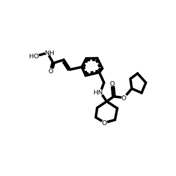 O=C(C=Cc1cccc(CNC2(C(=O)OC3CCCC3)CCOCC2)c1)NO